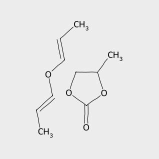 CC1COC(=O)O1.CC=COC=CC